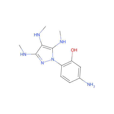 CNc1nn(-c2ccc(N)cc2O)c(NC)c1NC